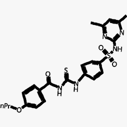 CCCOc1ccc(C(=O)NC(=S)Nc2ccc(S(=O)(=O)Nc3nc(C)cc(C)n3)cc2)cc1